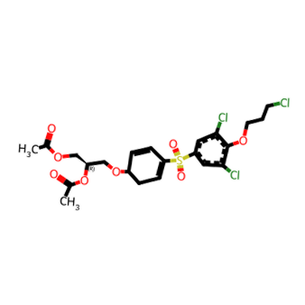 CC(=O)OC[C@@H](COC1C=CC(S(=O)(=O)c2cc(Cl)c(OCCCCl)c(Cl)c2)=CC1)OC(C)=O